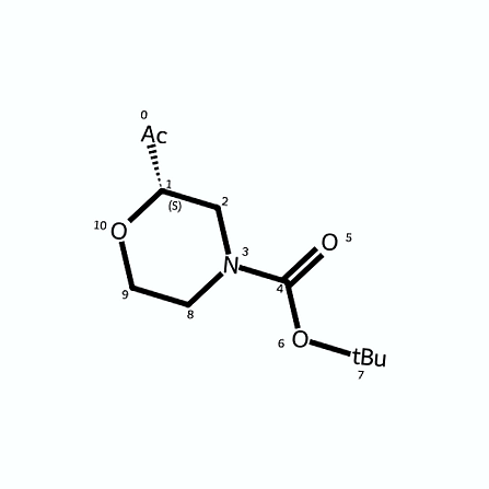 CC(=O)[C@@H]1CN(C(=O)OC(C)(C)C)CCO1